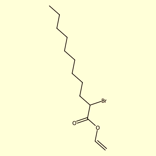 C=COC(=O)C(Br)CCCCCCCCC